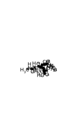 CCC(C)(CC(C)(CC(C)(C)C(=O)ON=C=O)C(=O)ONC(=O)NC)C(=O)O